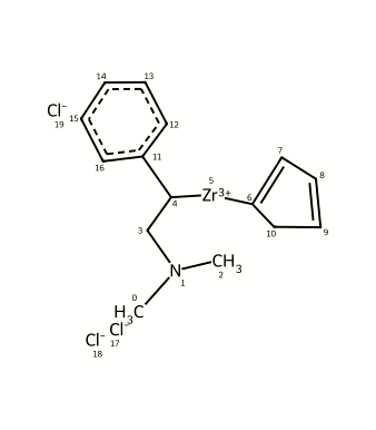 CN(C)C[CH]([Zr+3][C]1=CC=CC1)c1ccccc1.[Cl-].[Cl-].[Cl-]